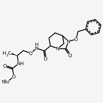 C[C@@H](CONC(=O)C1CCC2CN1C(=O)N2OCc1ccccc1)NC(=O)OC(C)(C)C